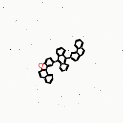 c1ccc2c(c1)ccc1ccc(-c3c4ccccc4c(-c4ccc5oc6ccc7ccccc7c6c5c4)c4ccccc34)cc12